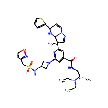 CCN(CC)[C@@H](C)CNC(=O)c1cc(N2CC(NS(=O)(=O)Cc3ccon3)C2)nc([C@]2(C)C=NN3C=CC(c4cccs4)NC32)c1